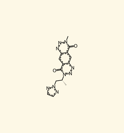 C[C@H](Cn1nccn1)n1nnc2cc3c(=O)n(C)nnc3cc2c1=O